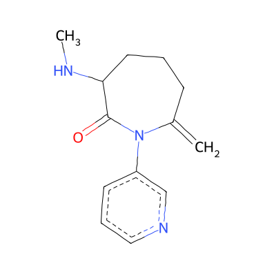 C=C1CCCC(NC)C(=O)N1c1cccnc1